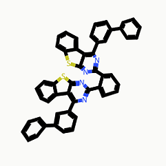 c1ccc(-c2cccc(-c3nc(-c4ccccc4-c4nc(-c5cccc(-c6ccccc6)c5)c5c(n4)sc4ccccc45)nc4sc5ccccc5c34)c2)cc1